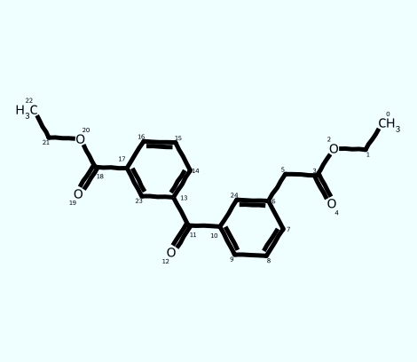 CCOC(=O)Cc1cccc(C(=O)c2cccc(C(=O)OCC)c2)c1